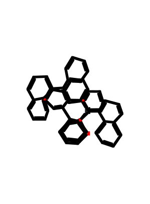 c1ccc(-c2ccccc2-c2c(-c3ccccc3)cccc2-c2ccccc2N(c2cccc(-c3cccc4ccccc34)c2)c2cccc3ccccc23)cc1